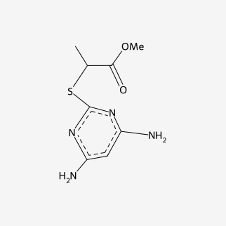 COC(=O)C(C)Sc1nc(N)cc(N)n1